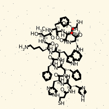 C[C@@H](O)[C@H](NC(=O)[C@H](Cc1ccccc1)NC(=O)[C@@H](NC(=O)[C@H](CCCCN)NC(=O)[C@@H](Cc1c[nH]c2ccccc12)NC(=O)[C@H](Cc1ccccc1)NC(=O)[C@H](Cc1ccccc1)NC(=O)[C@H](Cc1c[nH]cn1)NC(=O)[C@H](Cc1c[nH]cn1)NC(=O)CCS)[C@@H](C)O)C(=O)N[C@@H](CO)C(=O)N[C@@H](CS)C(=O)O